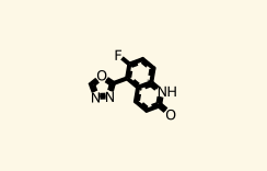 O=c1ccc2c(-c3nnco3)c(F)ccc2[nH]1